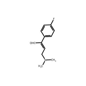 CN(C)CC=C(C=O)c1ccc(F)cc1